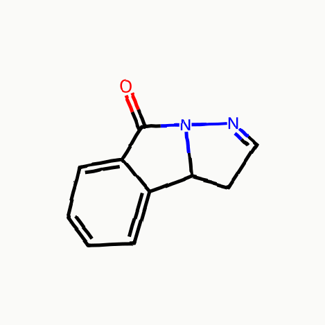 O=C1c2ccccc2C2CC=NN12